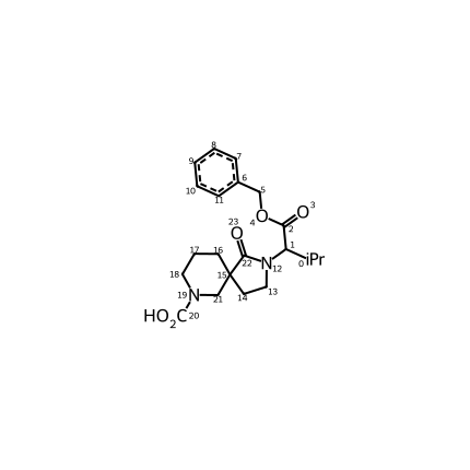 CC(C)C(C(=O)OCc1ccccc1)N1CCC2(CCCN(C(=O)O)C2)C1=O